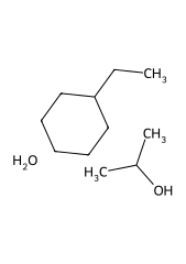 CC(C)O.CCC1CCCCC1.O